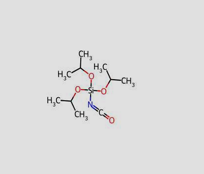 CC(C)O[Si](N=C=O)(OC(C)C)OC(C)C